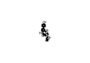 COc1ccc(-c2ccc3c(c2)C(=O)N2CCN(C(=O)CC(C)(C)C)C[C@@H]2C(=O)N3)cc1